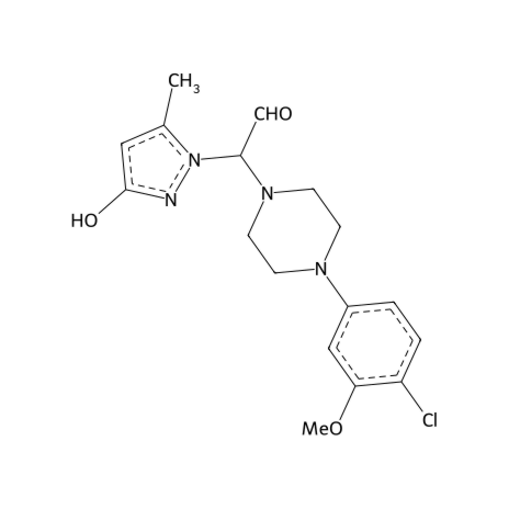 COc1cc(N2CCN(C(C=O)n3nc(O)cc3C)CC2)ccc1Cl